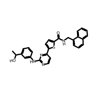 CC(O)c1cccc(Nc2nccc(-c3ccc(C(=O)NCc4cccc5ccccc45)s3)n2)c1